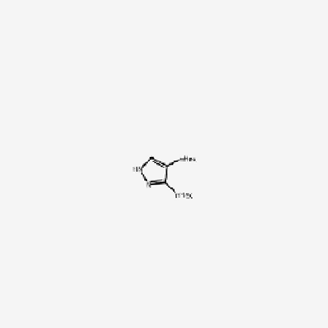 CCCCCCc1c[nH]nc1CCCCCC